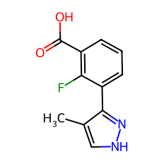 Cc1c[nH]nc1-c1cccc(C(=O)O)c1F